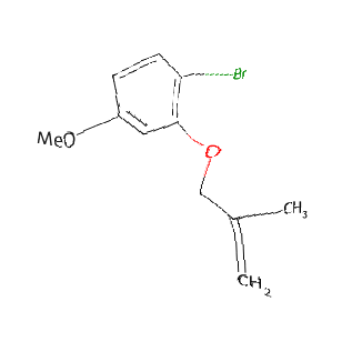 C=C(C)COc1cc(OC)ccc1Br